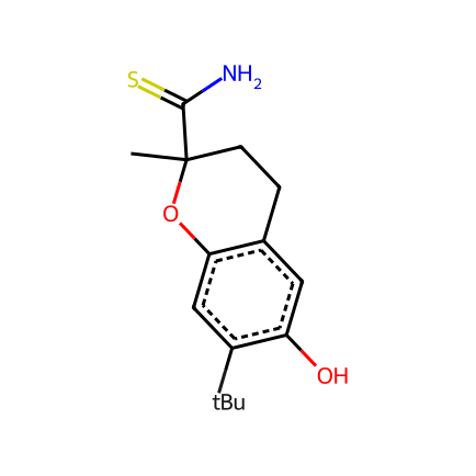 CC1(C(N)=S)CCc2cc(O)c(C(C)(C)C)cc2O1